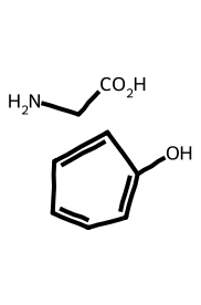 NCC(=O)O.Oc1ccccc1